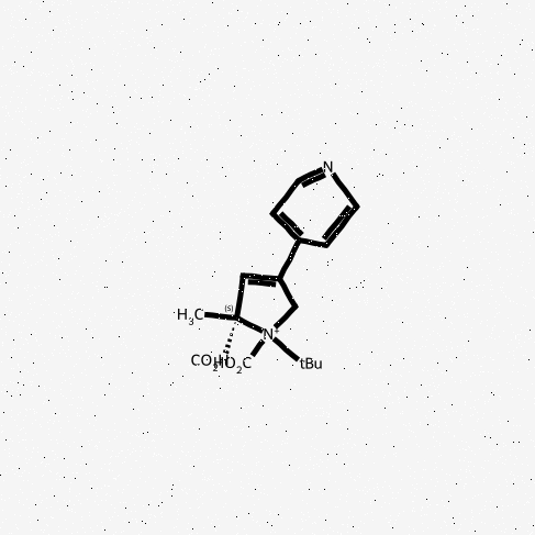 CC(C)(C)[N+]1(C(=O)O)CC(c2ccncc2)=C[C@@]1(C)C(=O)O